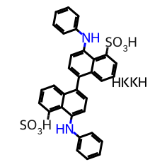 O=S(=O)(O)c1cccc2c(-c3ccc(Nc4ccccc4)c4c(S(=O)(=O)O)cccc34)ccc(Nc3ccccc3)c12.[KH].[KH]